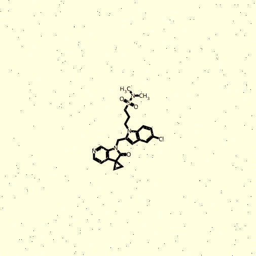 CN(C)S(=O)(=O)CCCn1c(CN2C(=O)C3(CC3)c3ccncc32)cc2cc(Cl)ccc21